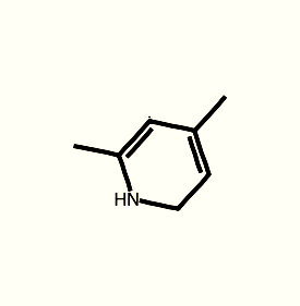 CC1=[C]C(C)=CCN1